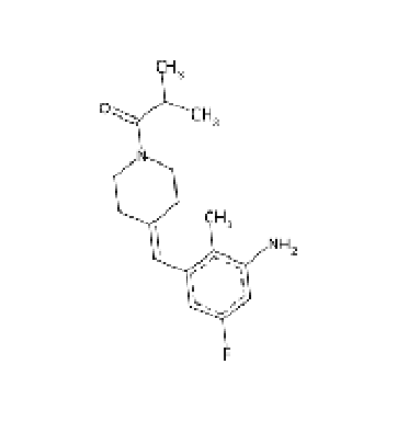 Cc1c(N)cc(F)cc1C=C1CCN(C(=O)C(C)C)CC1